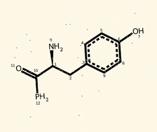 N[C@@H](Cc1ccc(O)cc1)C(=O)P